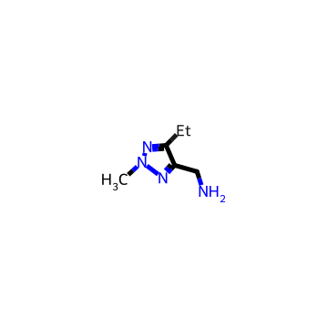 CCc1nn(C)nc1CN